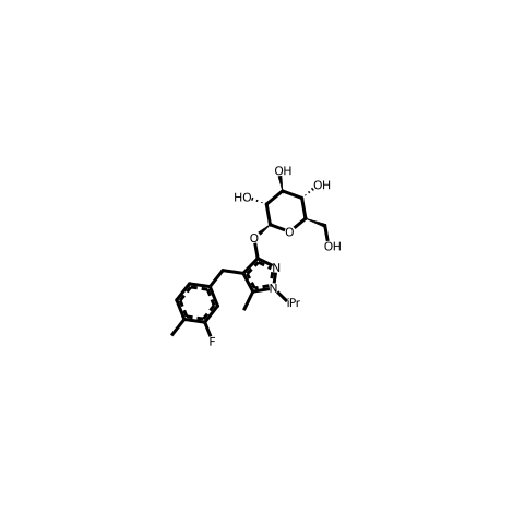 Cc1ccc(Cc2c(O[C@@H]3O[C@H](CO)[C@@H](O)[C@H](O)[C@H]3O)nn(C(C)C)c2C)cc1F